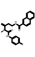 C=C(CCNC(=O)c1ccc2ccccc2c1)[C@H](C)C(=O)Nc1ccc(F)cc1